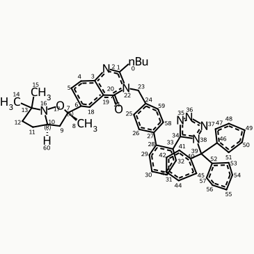 CCCCc1nc2ccc([C@]3(C)C[C@H]4CCC(C)(C)N4O3)cc2c(=O)n1Cc1ccc(-c2ccccc2-c2nnnn2C(c2ccccc2)(c2ccccc2)c2ccccc2)cc1